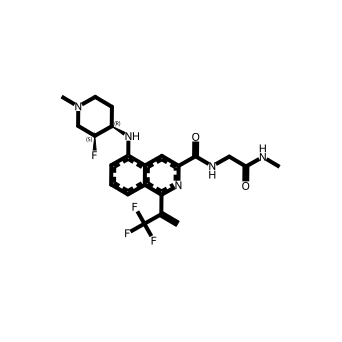 C=C(c1nc(C(=O)NCC(=O)NC)cc2c(N[C@@H]3CCN(C)C[C@@H]3F)cccc12)C(F)(F)F